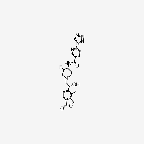 Cc1c([C@@H](O)CN2CC[C@H](NC(=O)c3ccc(-n4cnnn4)nc3)[C@H](F)C2)ccc2c1COC2=O